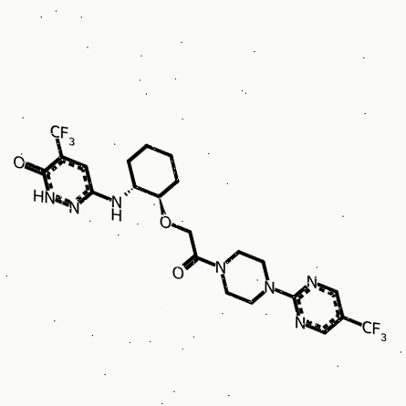 O=C(CO[C@@H]1CCCC[C@H]1Nc1cc(C(F)(F)F)c(=O)[nH]n1)N1CCN(c2ncc(C(F)(F)F)cn2)CC1